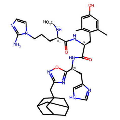 Cc1cc(O)cc(C)c1C[C@H](NC(=O)[C@@H](CCCn1ccnc1N)NC(=O)O)C(=O)N[C@@H](Cc1c[nH]cn1)c1nc(CC23CC4CC(CC(C4)C2)C3)no1